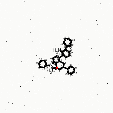 C=C/C=C(\Cc1c(-c2ccc3sc4ccccc4c3c2N)ccc2c1ccn2-c1ccccc1)c1ccccc1